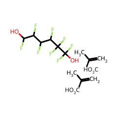 C=C(C)C(=O)O.C=C(C)C(=O)O.OC(F)C(F)C(F)C(F)C(F)(F)C(O)(F)F